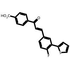 O=C(O)c1ccc(C(=O)/C=C/c2ccc(F)c(-c3cccs3)c2)cc1